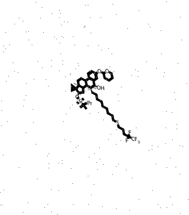 CC(C)C(C)(C)[Si](C)(C)O[C@@H]1CC2C3C(CC[C@]2(C)C12CC2)c1ccc(OC2CCCCO2)cc1[C@@H](O)[C@H]3CCCCCCCCCSCCCC(F)(F)C(F)(F)F